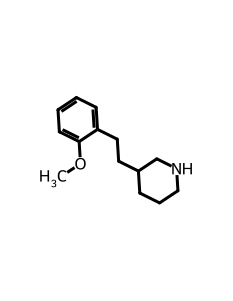 COc1ccccc1CCC1CCCNC1